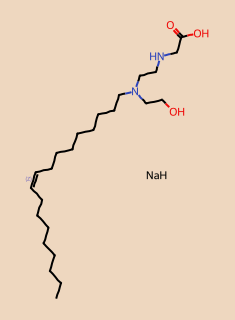 CCCCCCCC/C=C\CCCCCCCCN(CCO)CCNCC(=O)O.[NaH]